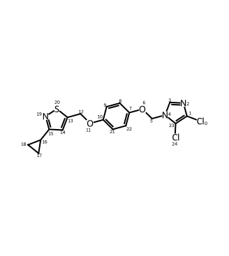 Clc1ncn(COc2ccc(OCc3cc(C4CC4)ns3)cc2)c1Cl